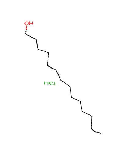 CCCCCCCCCCCCCCO.Cl